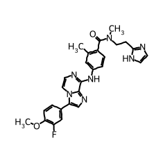 COc1ccc(-c2cnc3c(Nc4ccc(C(=O)N(C)CCc5ncc[nH]5)c(C)c4)nccn23)cc1F